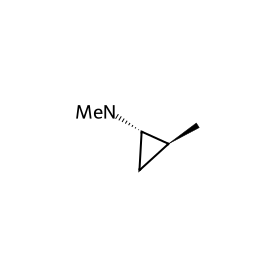 CN[C@H]1C[C@@H]1C